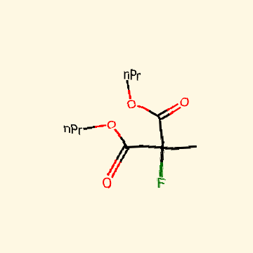 CCCOC(=O)C(C)(F)C(=O)OCCC